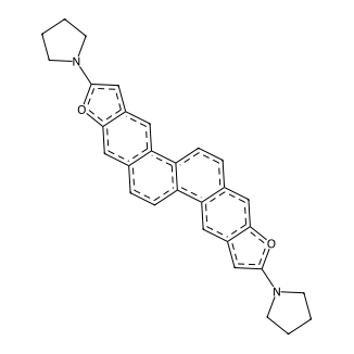 c1c(N2CCCC2)oc2cc3ccc4c5cc6cc(N7CCCC7)oc6cc5ccc4c3cc12